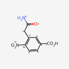 NC(=O)Cc1cc(C(=O)O)ccc1[N+](=O)[O-]